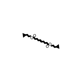 O=C(CCCC=CCCCC(=O)OCCCC1CC1)OCCCC1CC1